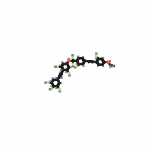 CCCCOc1ccc(C#Cc2ccc(C(F)(F)Oc3cc(F)c(C#CC4=CC(F)C(F)C(F)=C4)c(F)c3)c(F)c2)c(F)c1